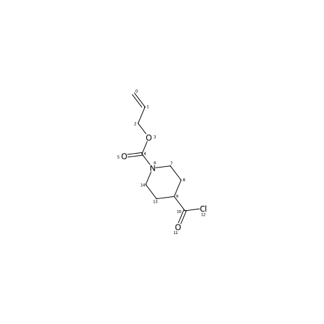 C=CCOC(=O)N1CCC(C(=O)Cl)CC1